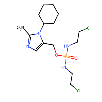 O=[N+]([O-])c1ncc(COP(=O)(NCCCl)NCCCl)n1C1CCCCC1